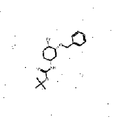 CC(C)(C)OC(=O)N[C@@H]1CC[C@@H](Br)[C@H](OCc2ccccc2)C1